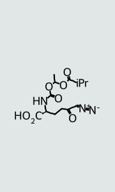 CC(OC(=O)N[C@@H](CCC(=O)C=[N+]=[N-])C(=O)O)OC(=O)C(C)C